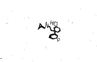 COc1cccc(C2(CCN(C)CC3CC3)C=CCCC2)c1.Cl